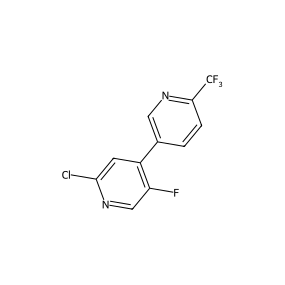 Fc1cnc(Cl)cc1-c1ccc(C(F)(F)F)nc1